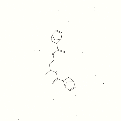 CC(CCOC(=O)C1CC2C=CC1C2)OC(=O)C1CC2C=CC1C2